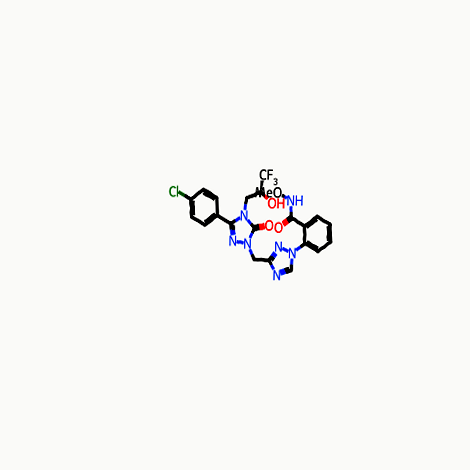 CONC(=O)c1ccccc1-n1cnc(Cn2nc(-c3ccc(Cl)cc3)n(C[C@H](O)C(F)(F)F)c2=O)n1